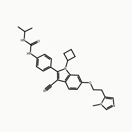 CC(C)NC(=O)Nc1ccc(-c2c(C#N)c3ccc(OCCc4cncn4C)cc3n2C2CCC2)cc1